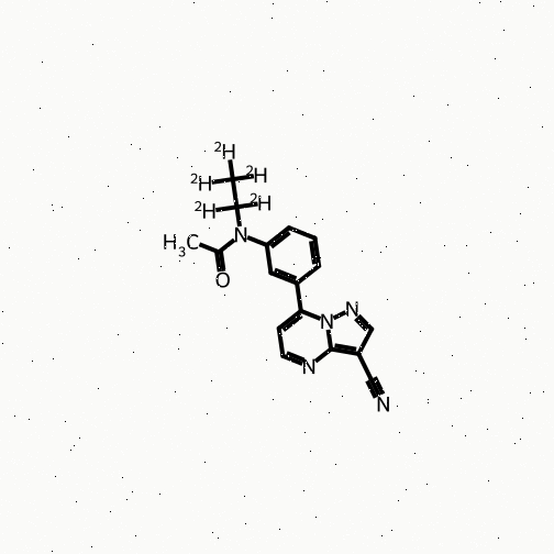 [2H]C([2H])([2H])C([2H])([2H])N(C(C)=O)c1cccc(-c2ccnc3c(C#N)cnn23)c1